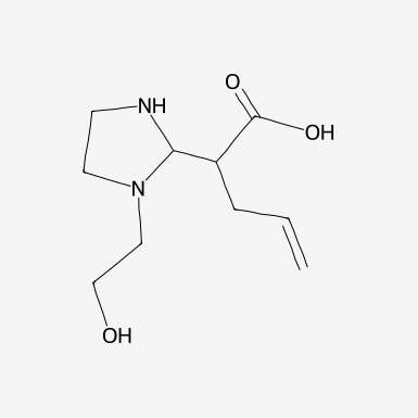 C=CCC(C(=O)O)C1NCCN1CCO